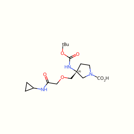 CC(C)(C)OC(=O)N[C@]1(COCC(=O)NC2CC2)CCN(C(=O)O)C1